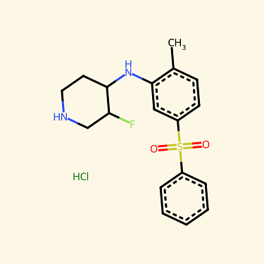 Cc1ccc(S(=O)(=O)c2ccccc2)cc1NC1CCNCC1F.Cl